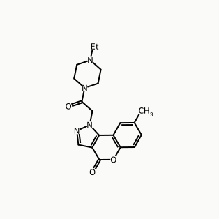 CCN1CCN(C(=O)Cn2ncc3c(=O)oc4ccc(C)cc4c32)CC1